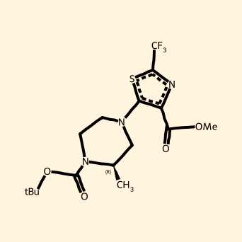 COC(=O)c1nc(C(F)(F)F)sc1N1CCN(C(=O)OC(C)(C)C)[C@H](C)C1